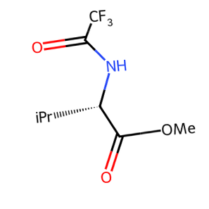 [CH2]OC(=O)[C@@H](NC(=O)C(F)(F)F)C(C)C